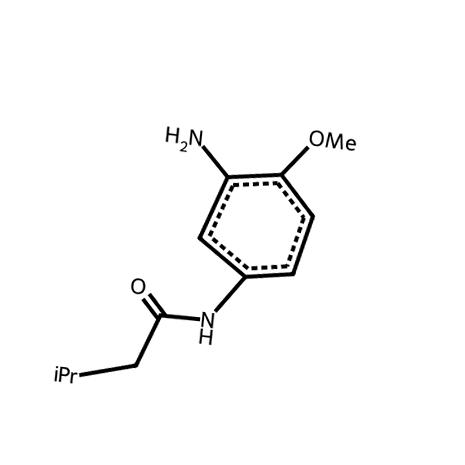 COc1ccc(NC(=O)CC(C)C)cc1N